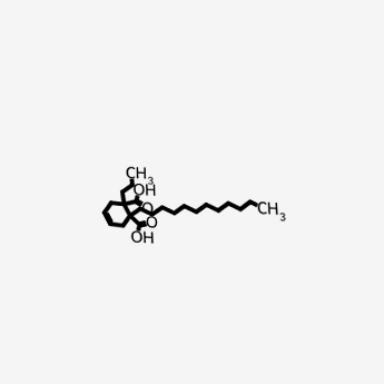 CCCCCCCCCCCCC1(C(=O)O)CC=CCC1(CCC)C(=O)O